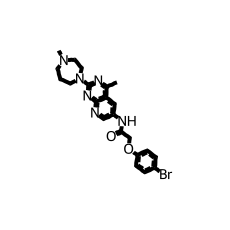 Cc1nc(N2CCCN(C)CC2)nc2ncc(NC(=O)COc3ccc(Br)cc3)cc12